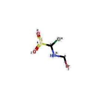 O=[SH](=O)C(Cl)NCBr